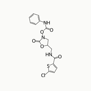 O=C(Nc1ccccc1)ON1CC(CNC(=O)c2ccc(Cl)s2)OC1=O